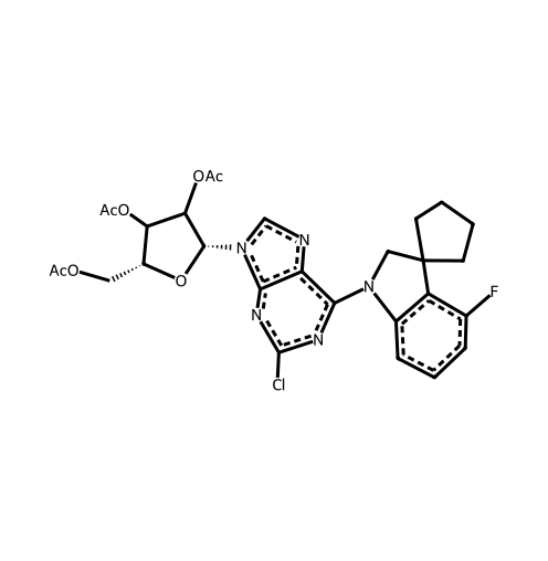 CC(=O)OC[C@H]1O[C@@H](n2cnc3c(N4CC5(CCCC5)c5c(F)cccc54)nc(Cl)nc32)C(OC(C)=O)C1OC(C)=O